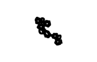 O=P(c1ccccc1)(c1ccccc1)c1ccc2oc3ccc(-c4ccc5oc6ncccc6c5c4)cc3c2c1